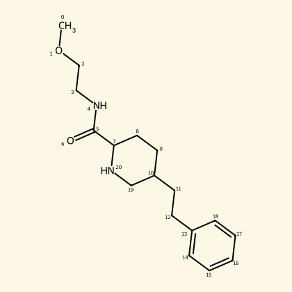 COCCNC(=O)C1CCC(CCc2ccccc2)CN1